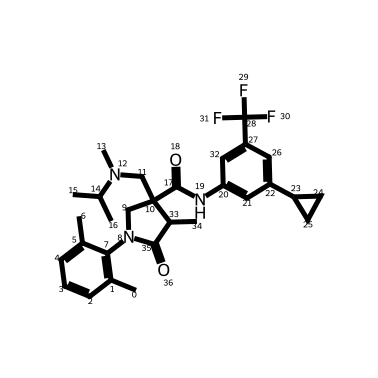 Cc1cccc(C)c1N1CC(CN(C)C(C)C)(C(=O)Nc2cc(C3CC3)cc(C(F)(F)F)c2)C(C)C1=O